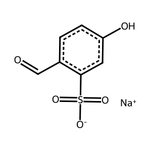 O=Cc1ccc(O)cc1S(=O)(=O)[O-].[Na+]